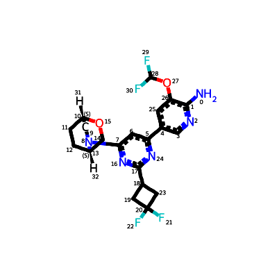 Nc1ncc(-c2cc(N3C[C@@H]4CC[C@H]3CO4)nc(C3CC(F)(F)C3)n2)cc1OC(F)F